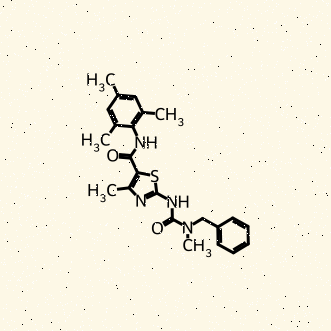 Cc1cc(C)c(NC(=O)c2sc(NC(=O)N(C)Cc3ccccc3)nc2C)c(C)c1